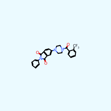 O=C(c1ccccc1C(F)(F)F)N1CCN(c2ccc3c(c2)C(=O)N(c2ccccc2)C3=O)CC1